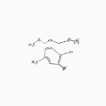 COCOCOC.Cc1ccc(O)c(Br)c1